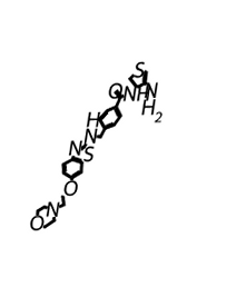 NC1=CSCC1NC(=O)c1ccc(CNc2nc3ccc(OCCN4CCOCC4)cc3s2)cc1